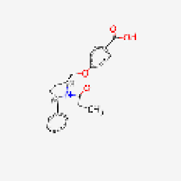 CCC(=O)N1[C@H](COc2ccc(C(=O)O)cc2)CC[C@@H]1c1ccccc1